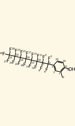 Cc1cc(C(F)(F)C(F)(F)C(F)(F)C(F)(F)C(F)(F)C(F)(F)C(F)(F)C(F)(F)F)ccc1O